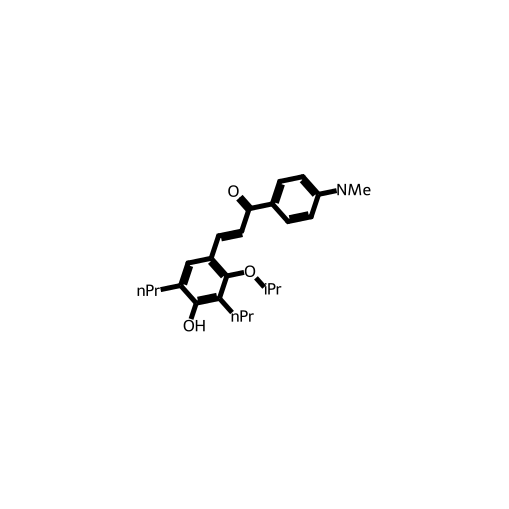 CCCc1cc(C=CC(=O)c2ccc(NC)cc2)c(OC(C)C)c(CCC)c1O